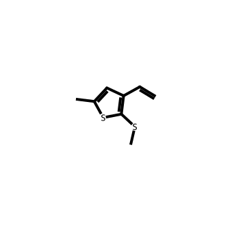 C=Cc1cc(C)sc1SC